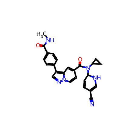 CNC(=O)c1ccc(-c2cnn3ccc(C(=O)N(C4CC4)C4C=CC(C#N)=CN4)cc23)cc1